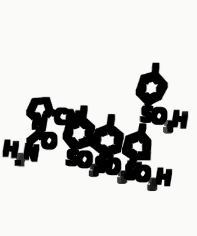 Cc1ccc(S(=O)(=O)O)cc1.Cc1ccc(S(=O)(=O)O)cc1.Cc1ccc(S(=O)(=O)O)cc1.Cc1ccc(S(=O)(=O)O)cc1.N#C[C@@H]1CCCN1C(=O)CN